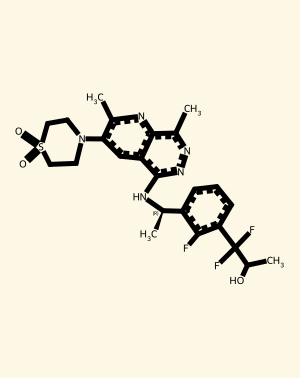 Cc1nc2c(C)nnc(N[C@H](C)c3cccc(C(F)(F)C(C)O)c3F)c2cc1N1CCS(=O)(=O)CC1